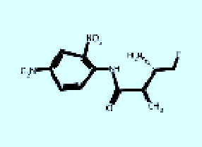 CC(C(=O)Nc1ccc([N+](=O)[O-])cc1[N+](=O)[O-])[C@H](N)CF